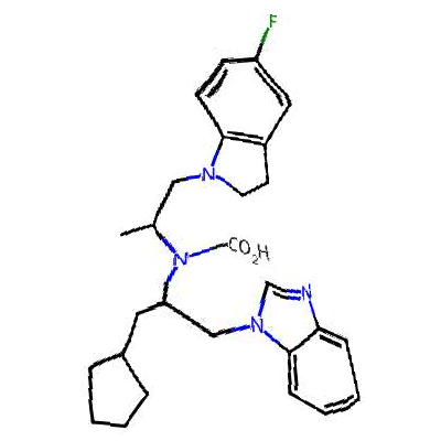 CC(CN1CCc2cc(F)ccc21)N(C(=O)O)C(CC1CCCC1)Cn1cnc2ccccc21